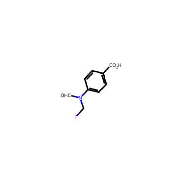 O=CN(CI)c1ccc(C(=O)O)cc1